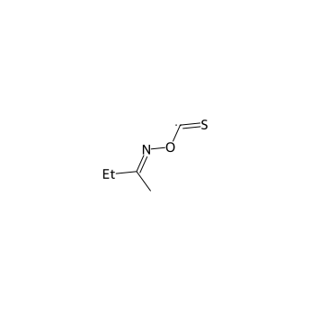 CCC(C)=NO[C]=S